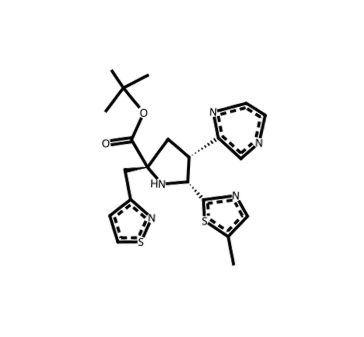 Cc1cnc([C@@H]2N[C@](Cc3ccsn3)(C(=O)OC(C)(C)C)C[C@@H]2c2cnccn2)s1